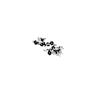 CC[C@@H](NC(=O)[C@@H]1C[C@H](NC2CCCC(N3CCN(C(=O)c4cn(-c5cc(C)[nH]n5)c5nc(N[C@@H](C)c6ccc(F)cn6)ccc45)CC3)C2)CN1C(=O)[C@@H](NC(=O)[C@H](C)NC)C(C)(C)C)c1ccccc1